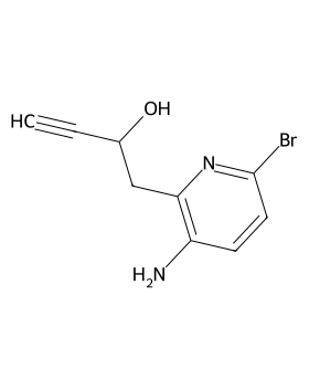 C#CC(O)Cc1nc(Br)ccc1N